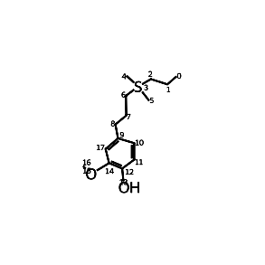 CCCS(C)(C)CCCc1ccc(O)c(OC)c1